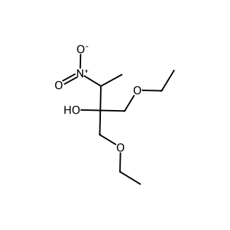 CCOCC(O)(COCC)C(C)[N+](=O)[O-]